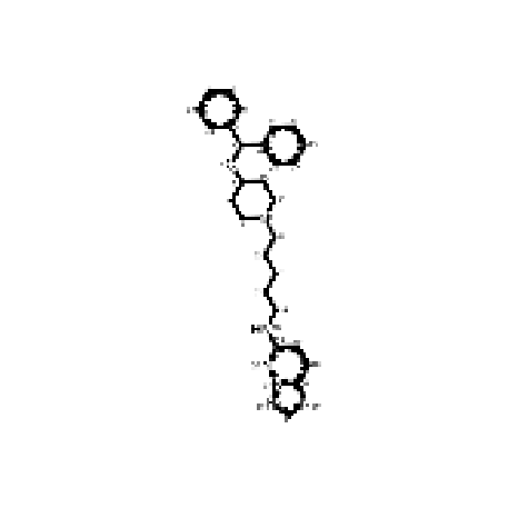 c1ccc(C(OC2CCN(CCCCCNc3ccc4ncnn4n3)CC2)c2ccccc2)cc1